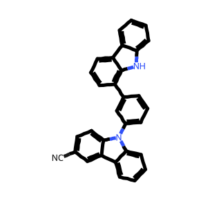 N#Cc1ccc2c(c1)c1ccccc1n2-c1cccc(-c2cccc3c2[nH]c2ccccc23)c1